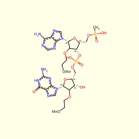 COCCOC1[C@@H](O)[C@@H](COP(=O)(O)O[C@@H]2C(OCCOC)[C@H](n3cnc4c(N)ncnc43)O[C@@H]2COP(C)(=O)O)O[C@H]1n1cnc2c(=O)[nH]c(N)nc21